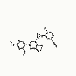 COc1ncc(-c2cc([C@@H]3C[C@H]3c3cc(C#N)ccc3F)c3nccn3n2)c(OC)n1